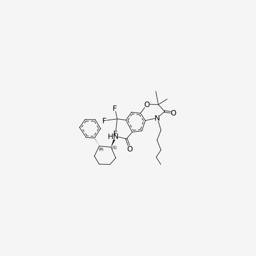 CCCCCN1C(=O)C(C)(C)Oc2cc(C(F)(F)F)c(C(=O)N[C@H]3CCCC[C@@H]3c3ccccc3)cc21